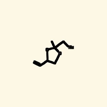 C=CC1COC(C)(CC(C)CC)O1